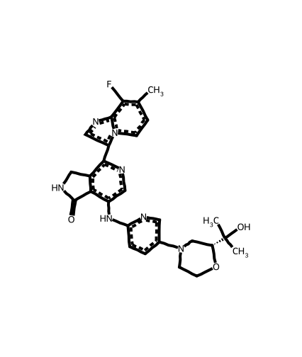 Cc1ccn2c(-c3ncc(Nc4ccc(N5CCO[C@@H](C(C)(C)O)C5)cn4)c4c3CNC4=O)cnc2c1F